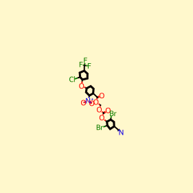 N#Cc1cc(Br)c(OC(=O)OCOC(=O)c2ccc(Oc3ccc(C(F)(F)F)cc3Cl)cc2[N+](=O)[O-])c(Br)c1